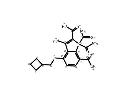 NC(=O)S1(C(N)=O)C(C(=O)O)=C(N)c2c(OCC3CCC3)ccc(C(=O)O)c21